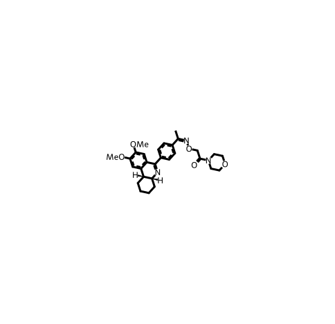 COc1cc2c(cc1OC)[C@H]1CCCC[C@H]1N=C2c1ccc(/C(C)=N\OCC(=O)N2CCOCC2)cc1